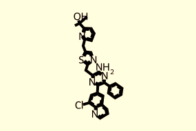 CC(C)(O)c1cccc(Cc2cnc(Cc3nc(-c4cc(Cl)c5ncccc5c4)c(-c4ccccc4)nc3N)s2)n1